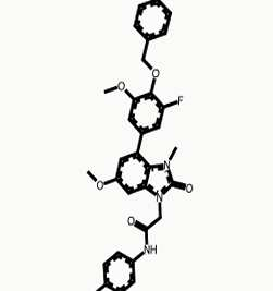 COc1cc(-c2cc(F)c(OCc3ccccc3)c(OC)c2)c2c(c1)n(CC(=O)Nc1ccc(F)cc1)c(=O)n2C